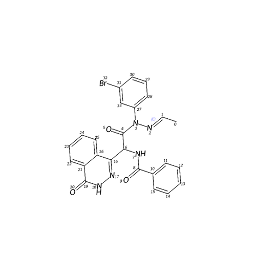 C/C=N/N(C(=O)C(NC(=O)c1ccccc1)c1n[nH]c(=O)c2ccccc12)c1cccc(Br)c1